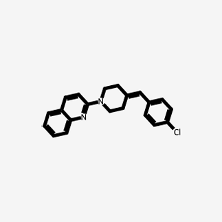 Clc1ccc(C=C2CCN(c3ccc4c[c]ccc4n3)CC2)cc1